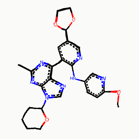 COc1ccc(Nc2ncc(C3OCCO3)cc2-c2nc(C)nc3c2ncn3C2CCCCO2)cn1